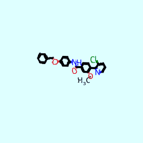 COc1cc(C(=O)Nc2ccc(OCc3ccccc3)cc2)ccc1-c1ncccc1Cl